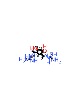 CC(=NNC(=N)N)c1cc(C(C)=NNC(=N)N)c(O)cc1O